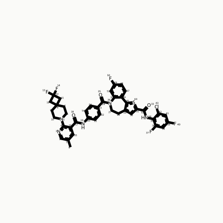 Cc1cnc(N2CCC3(CC2)CC(F)(F)C3)c(C(=O)Nc2ccc(C(=O)N3CCc4cc(C(=O)Nc5c(F)cc(F)cc5Cl)sc4-c4ccc(F)cc43)cc2)c1